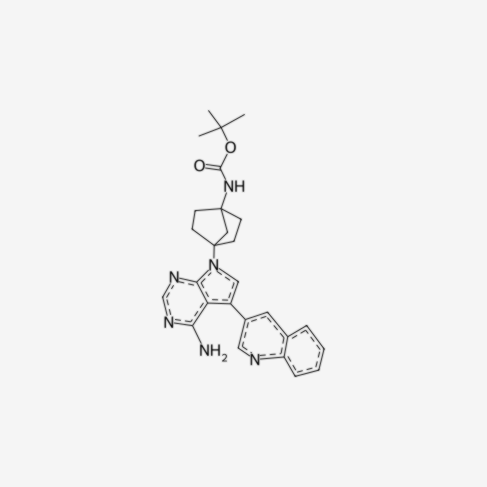 CC(C)(C)OC(=O)NC12CCC(n3cc(-c4cnc5ccccc5c4)c4c(N)ncnc43)(CC1)C2